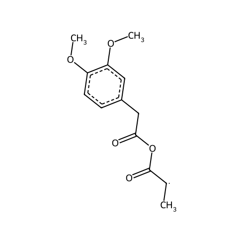 C[CH]C(=O)OC(=O)Cc1ccc(OC)c(OC)c1